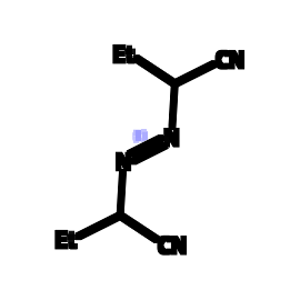 CCC(C#N)/N=N/C(C#N)CC